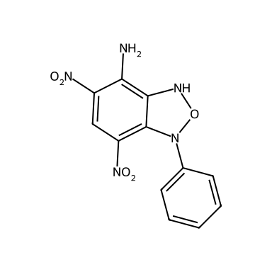 Nc1c([N+](=O)[O-])cc([N+](=O)[O-])c2c1NON2c1ccccc1